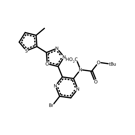 Cc1ccsc1-c1nnc(-c2nc(Br)cnc2N(C(=O)O)C(=O)OC(C)(C)C)o1